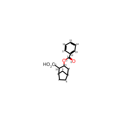 O=C(OC1CC2CCC(C2)C1C(=O)O)c1ccccc1